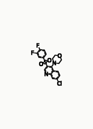 O=S(=O)(c1ccc(F)c(F)c1)c1cnc2cc(Cl)ccc2c1N1CCOCC1